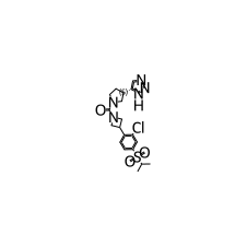 CC(C)S(=O)(=O)c1ccc(C2CN(C(=O)N3CC[C@H](c4cnn[nH]4)C3)C2)c(Cl)c1